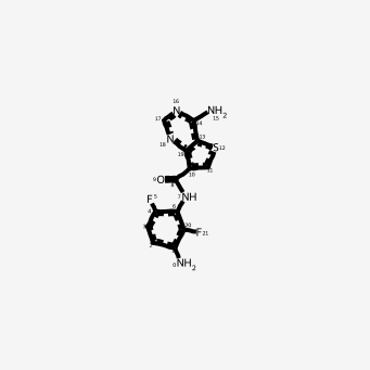 Nc1ccc(F)c(NC(=O)c2csc3c(N)ncnc23)c1F